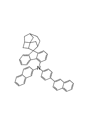 c1ccc2c(c1)-c1c(N(c3ccc(-c4ccc5ccccc5c4)cc3)c3ccc4ccccc4c3)cccc1C21C2CCC3CC4CC1C4(C3)C2